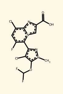 Cn1nc(-c2c(F)cc(Cl)c3nc(C(=O)O)cn23)c(Cl)c1OC(F)F